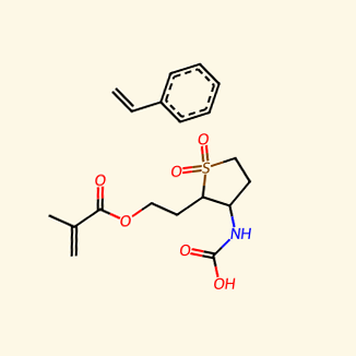 C=C(C)C(=O)OCCC1C(NC(=O)O)CCS1(=O)=O.C=Cc1ccccc1